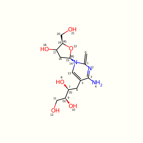 C=C1N=C(N)C(C[C@H](O)[C@@H](O)CO)=CN1[C@H]1CC(O)[C@@H](CO)O1